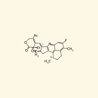 C=C1Cc2c(nc3cc(F)c(C)c4c3c2[C@@H](C)CC4)/C1=C/C1=C(C(C)=O)COC(=O)[C@]1(O)CC